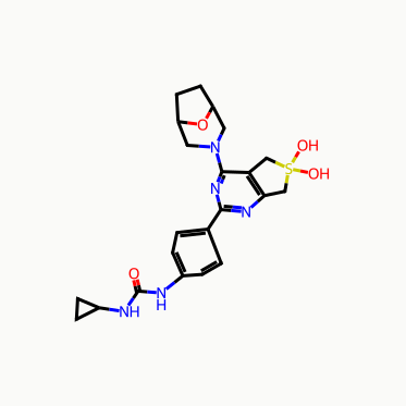 O=C(Nc1ccc(-c2nc3c(c(N4CC5CCC(C4)O5)n2)CS(O)(O)C3)cc1)NC1CC1